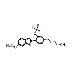 CCCCCc1ccc(-c2cc3ccc(OC)cc3s2)c(OC(F)(F)F)c1